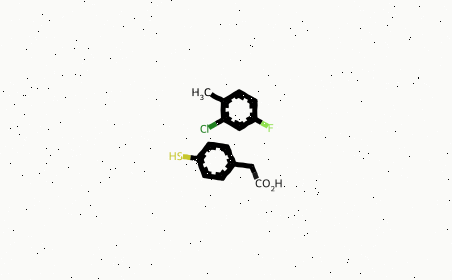 Cc1ccc(F)cc1Cl.O=C(O)Cc1ccc(S)cc1